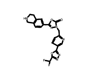 O=c1oc(-c2ccc3c(c2)CCNC3)nn1Cc1ccc(-c2nnc(C(F)F)o2)cn1